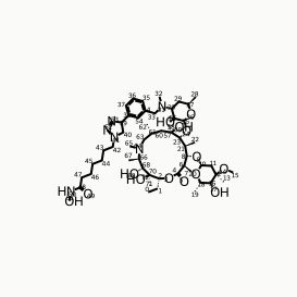 CC[C@H]1OC(=O)[C@H](C)[C@@H](O[C@H]2C[C@@](C)(OC)[C@@H](O)[C@H](C)O2)[C@H](C)[C@@H](O[C@@H]2O[C@H](C)C[C@H](N(C)Cc3cccc(C4CN(CCCCCCC(=O)NO)N=N4)c3)[C@@H]2O)[C@](C)(O)C[C@@H](C)CN(C)[C@H](C)[C@@H](O)[C@]1(C)O